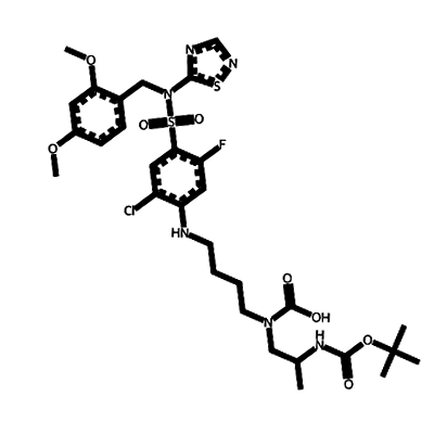 COc1ccc(CN(c2ncns2)S(=O)(=O)c2cc(Cl)c(NCCCCN(CC(C)NC(=O)OC(C)(C)C)C(=O)O)cc2F)c(OC)c1